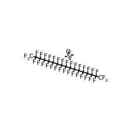 C[Si](C)(C)[O].FC(F)(F)C(F)(F)C(F)(F)C(F)(F)C(F)(F)C(F)(F)C(F)(F)C(F)(F)C(F)(F)C(F)(F)C(F)(F)C(F)(F)C(F)(F)C(F)(F)C(F)(F)C(F)(F)C(F)(F)F